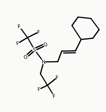 O=S(=O)(N(C/C=C/C1CCCCC1)CC(F)(F)F)C(F)(F)F